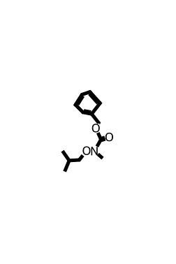 CC(C)CON(C)C(=O)OCc1ccccc1